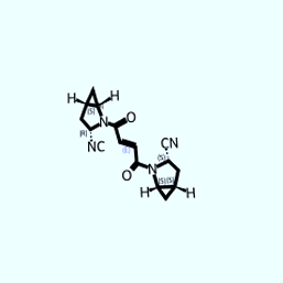 [C-]#[N+][C@@H]1C[C@@H]2C[C@@H]2N1C(=O)/C=C/C(=O)N1[C@H](C#N)C[C@@H]2C[C@@H]21